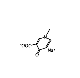 Cn1ccc(=O)c(C(=O)[O-])c1.[Na+]